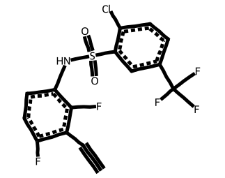 C#Cc1c(F)ccc(NS(=O)(=O)c2cc(C(F)(F)F)ccc2Cl)c1F